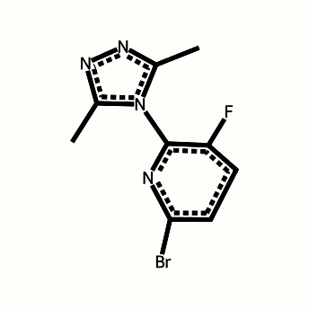 Cc1nnc(C)n1-c1nc(Br)ccc1F